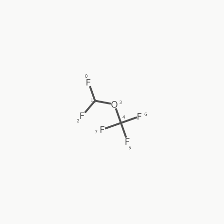 F[C](F)OC(F)(F)F